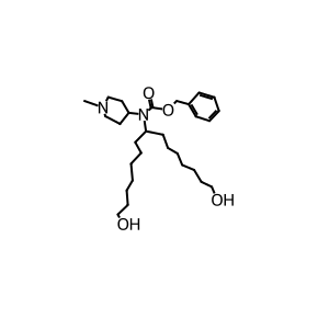 CN1CCC(N(C(=O)OCc2ccccc2)C(CCCCCCCO)CCCCCCCO)CC1